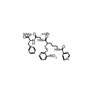 CNC(=O)[C@H](Cc1ccccc1)NC(=O)[C@H](CC(C)C)NC(=O)C(CCCNC(=O)c1ccncc1)SSc1ccccc1[N+](=O)[O-]